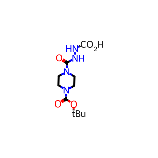 CC(C)(C)OC(=O)N1CCN(C(=O)NNC(=O)O)CC1